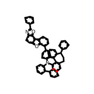 c1ccc(-c2nc3ccc4oc5c(-c6ccc(N(c7ccccc7-c7ccccc7)c7cccc8c7-c7ccccc7C(c7ccccc7)CC8)cc6)cccc5c4c3o2)cc1